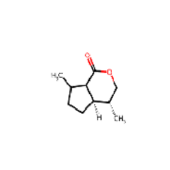 CC1CC[C@H]2C1C(=O)OC[C@@H]2C